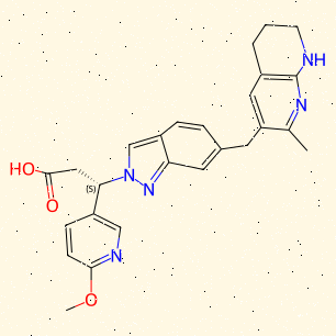 COc1ccc([C@H](CC(=O)O)n2cc3ccc(Cc4cc5c(nc4C)NCCC5)cc3n2)cn1